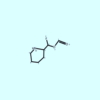 O=COC(F)C1CCCCN1